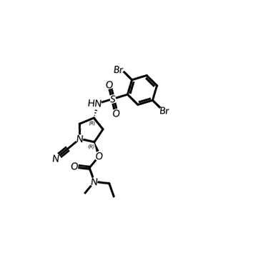 CCN(C)C(=O)O[C@@H]1C[C@@H](NS(=O)(=O)c2cc(Br)ccc2Br)CN1C#N